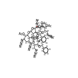 CC(=O)OCC1OC(OC2C(OC(C)=O)C(N=[N+]=[N-])CC(N=[N+]=[N-])C2OC2OC(CN=[N+]=[N-])C(OCc3ccccc3)C(F)C2OCc2ccccc2)C(OC(C)=O)C1OC1OC(CN=[N+]=[N-])C(OC(C)=O)C(OC(C)=O)C1N=[N+]=[N-]